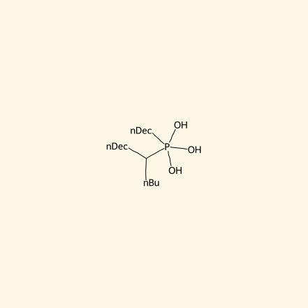 CCCCCCCCCCC(CCCC)P(O)(O)(O)CCCCCCCCCC